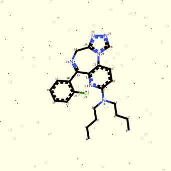 CCCCN(CCCC)c1ccc2c(n1)C(c1ccccc1Cl)=NCc1nncn1-2